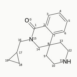 O=C1c2ccccc2C2(CCNCC2)CN1CC1CC1